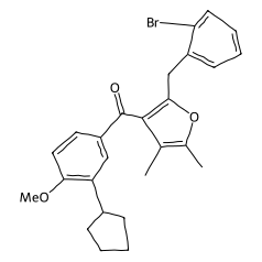 COc1ccc(C(=O)c2c(Cc3ccccc3Br)oc(C)c2C)cc1C1CCCC1